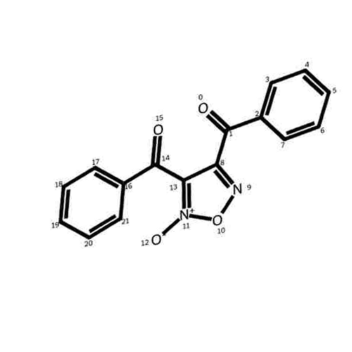 O=C(c1ccccc1)c1no[n+]([O-])c1C(=O)c1ccccc1